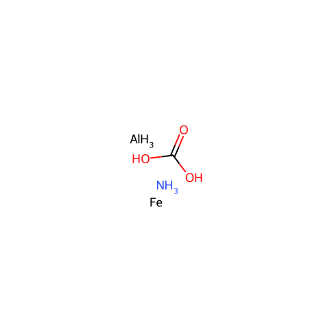 N.O=C(O)O.[AlH3].[Fe]